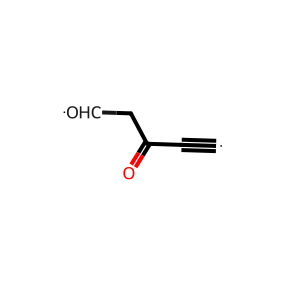 [C]#CC(=O)C[C]=O